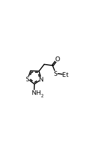 CCSC(=O)Cc1csc(N)n1